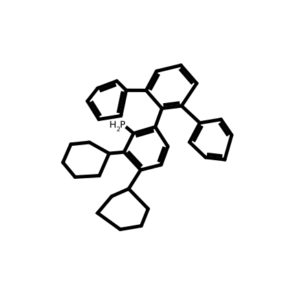 Pc1c(-c2c(-c3ccccc3)cccc2-c2ccccc2)ccc(C2CCCCC2)c1C1CCCCC1